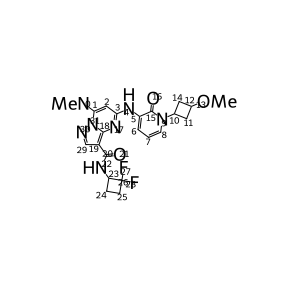 CNc1cc(Nc2cccn(C3CC(OC)C3)c2=O)nc2c(C(=O)NC3CCC3(F)F)cnn12